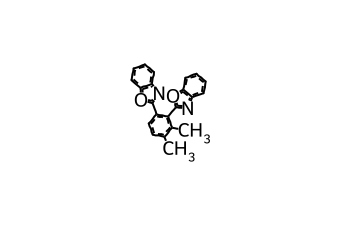 Cc1ccc(-c2nc3ccccc3o2)c(-c2nc3ccccc3o2)c1C